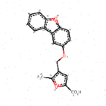 O=C(O)c1cc(COc2ccc3oc4ccccc4c3c2)c(C(F)(F)F)o1